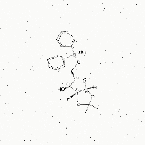 CC1(C)O[C@H]2O[C@H](CO[Si](c3ccccc3)(c3ccccc3)C(C)(C)C)[C@H](O)[C@H]2O1